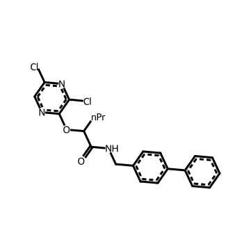 CCCC(Oc1ncc(Cl)nc1Cl)C(=O)NCc1ccc(-c2ccccc2)cc1